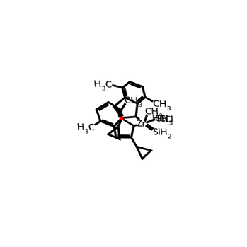 Cc1ccc(C)c2c1C=C(C1CC1)[CH]2[Zr]([CH3])([CH3])(=[SiH2])[CH]1C(C2CC2)=Cc2c(C)ccc(C)c21.Cl.Cl